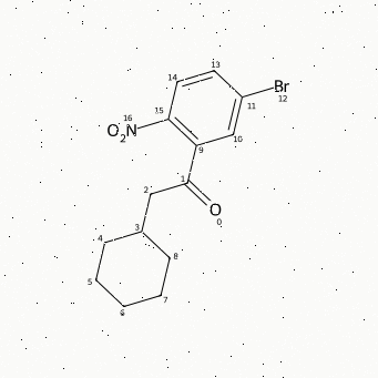 O=C(CC1CCCCC1)c1cc(Br)ccc1[N+](=O)[O-]